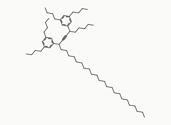 CC[CH]CCC(C#CC(CCCCCCCCCCCCCCCCCCCCCCC)c1cc(CCCC)cc(CCCC)c1)c1cc(CCCC)cc(CCCC)c1